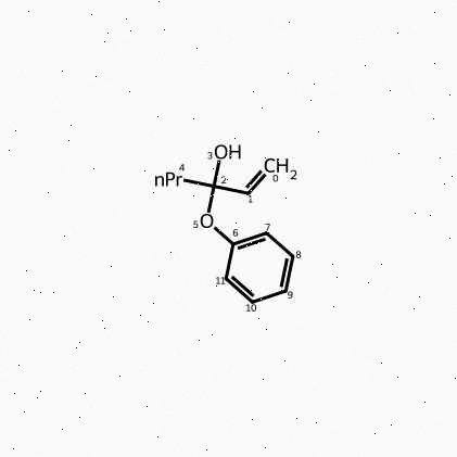 C=CC(O)(CCC)Oc1ccccc1